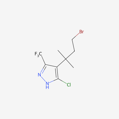 CC(C)(CCBr)c1c(C(F)(F)F)n[nH]c1Cl